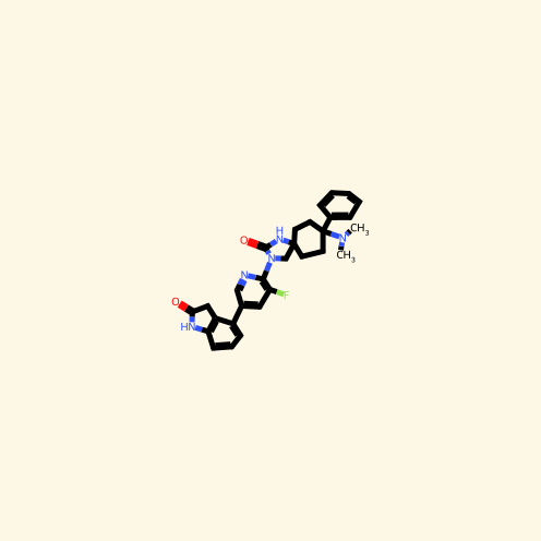 CN(C)C1(c2ccccc2)CCC2(CC1)CN(c1ncc(-c3cccc4c3CC(=O)N4)cc1F)C(=O)N2